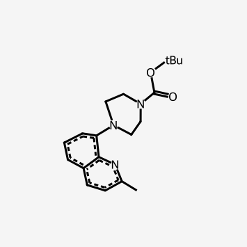 Cc1ccc2cccc(N3CCN(C(=O)OC(C)(C)C)CC3)c2n1